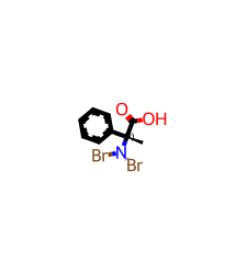 C[C@](C(=O)O)(c1ccccc1)N(Br)Br